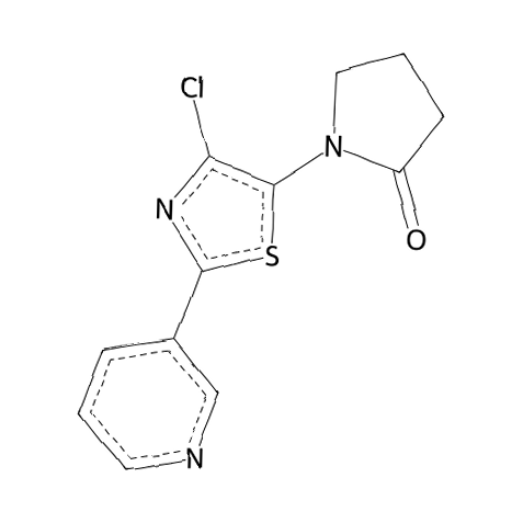 O=C1CCCN1c1sc(-c2cccnc2)nc1Cl